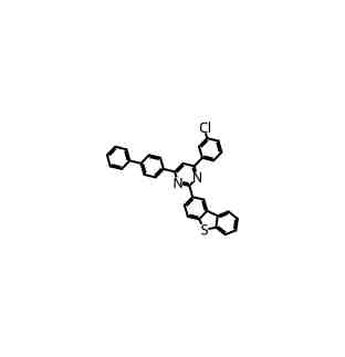 Clc1cccc(-c2cc(-c3ccc(-c4ccccc4)cc3)nc(-c3ccc4sc5ccccc5c4c3)n2)c1